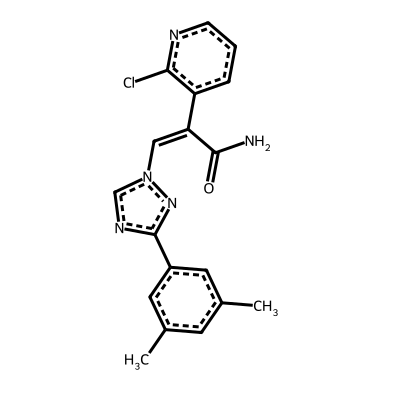 Cc1cc(C)cc(-c2ncn(C=C(C(N)=O)c3cccnc3Cl)n2)c1